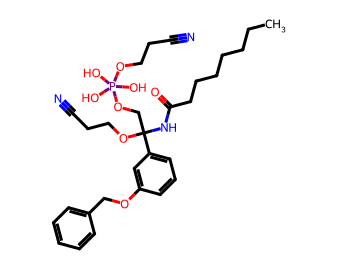 CCCCCCCC(=O)NC(COP(O)(O)(O)OCCC#N)(OCCC#N)c1cccc(OCc2ccccc2)c1